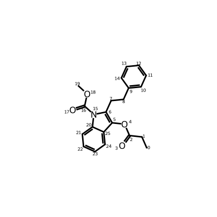 CCC(=O)Oc1c(CCc2ccccc2)n(C(=O)OC)c2ccccc12